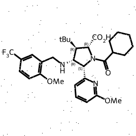 COc1cccc([C@@H]2[C@H](NCc3cc(C(F)(F)F)ccc3OC)[C@@H](C(C)(C)C)[C@H](C(=O)O)N2C(=O)C2CCCCC2)n1